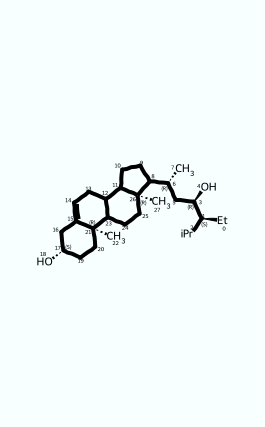 CC[C@@H](C(C)C)[C@H](O)C[C@@H](C)C1CCC2C3CC=C4C[C@@H](O)CC[C@]4(C)C3CC[C@@]21C